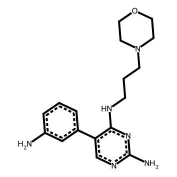 Nc1cccc(-c2cnc(N)nc2NCCCN2CCOCC2)c1